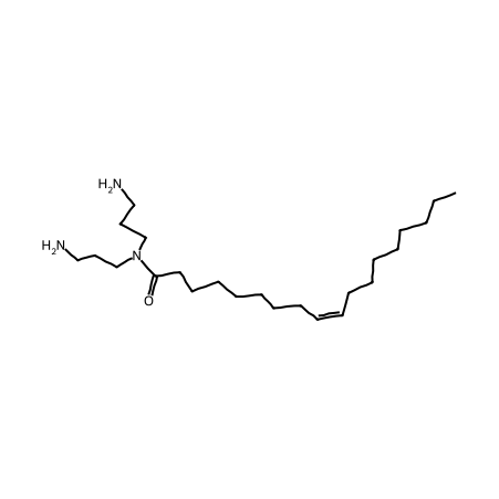 CCCCCCCC/C=C\CCCCCCCC(=O)N(CCCN)CCCN